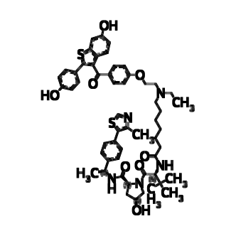 CCN(CCCCCCC(=O)N[C@H](C(=O)N1C[C@@H](O)C[C@H]1C(=O)N[C@@H](C)c1ccc(-c2scnc2C)cc1)C(C)(C)C)CCOc1ccc(C(=O)c2c(-c3ccc(O)cc3)sc3cc(O)ccc23)cc1